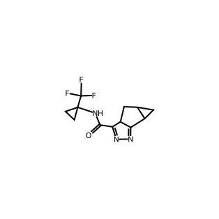 O=C(NC1(C(F)(F)F)CC1)C1=NN=C2C1CC1CC21